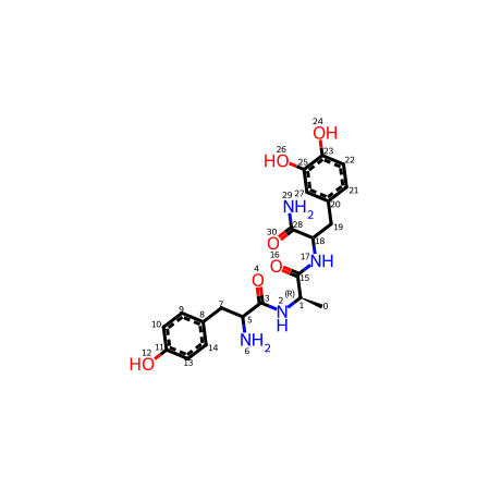 C[C@@H](NC(=O)C(N)Cc1ccc(O)cc1)C(=O)NC(Cc1ccc(O)c(O)c1)C(N)=O